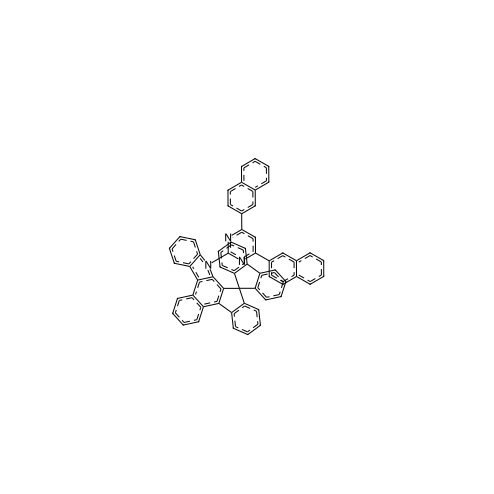 c1ccc2c(c1)-c1ccccc1C21c2ccccc2-c2c1c1c(c3ccccc23)c2ccccc2n1-c1nc(-c2ccc3ccccc3c2)cc(-c2ccc3ccccc3c2)n1